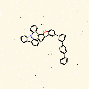 c1ccc(-c2ccc(-c3cccc(-c4ccc5oc6c(-c7ccccc7-n7c8ccccc8c8ccccc87)cccc6c5c4)c3)cc2)cc1